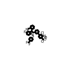 COC(=O)c1ccc(-c2cccc(-c3c(-c4ccccc4C#N)c4cc(F)ccc4n3Sc3ccc(C(F)F)cc3)c2)c(Cl)c1N=O